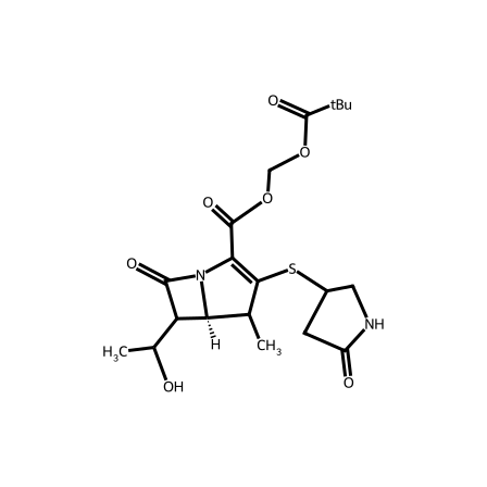 CC(O)C1C(=O)N2C(C(=O)OCOC(=O)C(C)(C)C)=C(SC3CNC(=O)C3)C(C)[C@@H]12